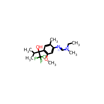 CCN(C)/C=N/c1cc(OC)c(C(O)(C(C)C)C(F)(F)Cl)cc1C